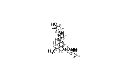 CC(C)c1ccc(N2CC(NS(=O)(=O)C3CC3)C2)c2cnc(Nc3ccnc(N4CCC(O)C(F)C4)n3)cc12